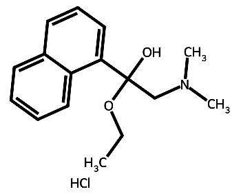 CCOC(O)(CN(C)C)c1cccc2ccccc12.Cl